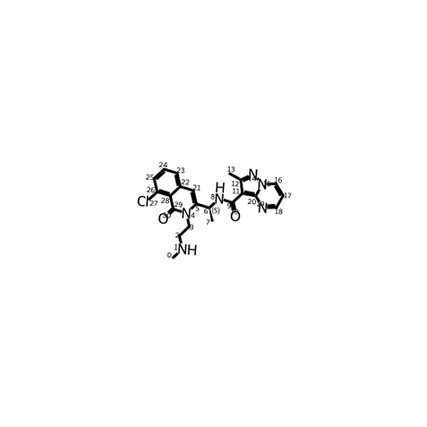 CNCCn1c([C@H](C)NC(=O)c2c(C)nn3cccnc23)cc2cccc(Cl)c2c1=O